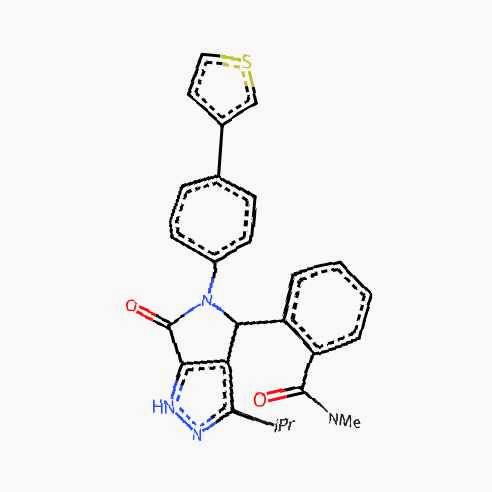 CNC(=O)c1ccccc1C1c2c(C(C)C)n[nH]c2C(=O)N1c1ccc(-c2ccsc2)cc1